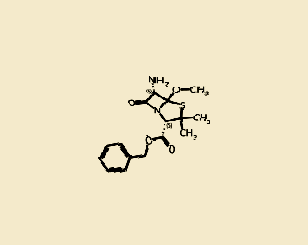 COC12SC(C)(C)[C@H](C(=O)OCc3ccccc3)N1C(=O)[C@@H]2N